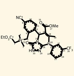 CCOC(=O)C[N+](C)(C)Cc1cc(C#N)ccc1C1C(C(=O)OC)=C(C)N(c2cccc(C(F)(F)F)c2)c2n[nH]c(=O)n21